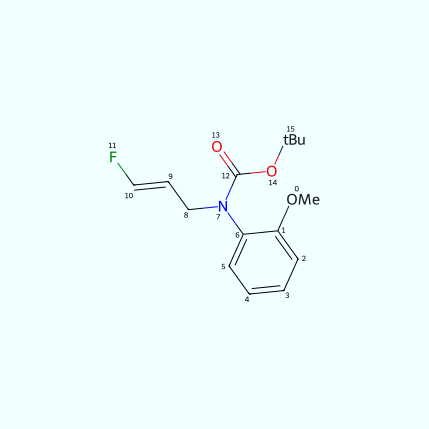 COc1ccccc1N(CC=CF)C(=O)OC(C)(C)C